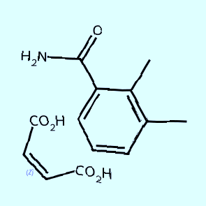 Cc1cccc(C(N)=O)c1C.O=C(O)/C=C\C(=O)O